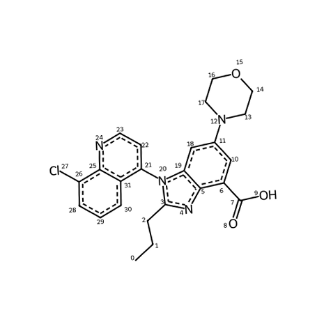 CCCc1nc2c(C(=O)O)cc(N3CCOCC3)cc2n1-c1ccnc2c(Cl)cccc12